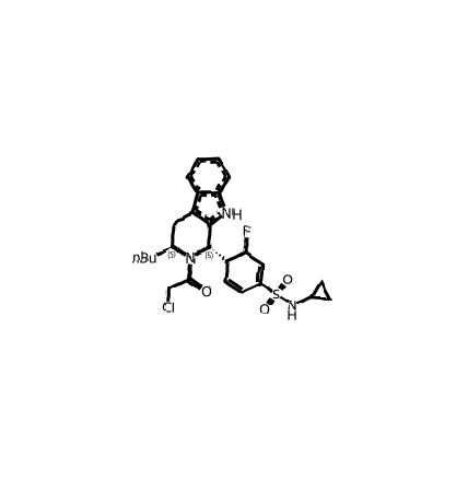 CCCC[C@H]1Cc2c([nH]c3ccccc23)[C@H](C2C=CC(S(=O)(=O)NC3CC3)=CC2F)N1C(=O)CCl